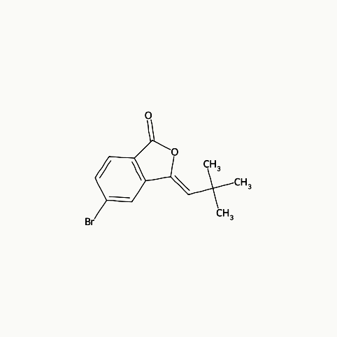 CC(C)(C)/C=C1\OC(=O)c2ccc(Br)cc21